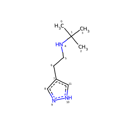 CC(C)(C)NCCc1cn[nH]c1